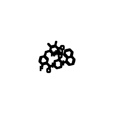 Cc1c(Cc2ccc(F)c(C(=O)N3CCN(c4cccc5ccccc45)C(=O)C3)c2)n[nH]c(=O)c1C